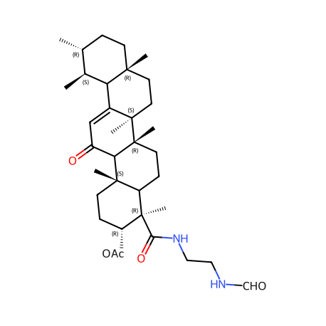 CC(=O)O[C@@H]1CC[C@@]2(C)C(CC[C@]3(C)C2C(=O)C=C2C4[C@@H](C)[C@H](C)CC[C@]4(C)CC[C@]23C)[C@@]1(C)C(=O)NCCNC=O